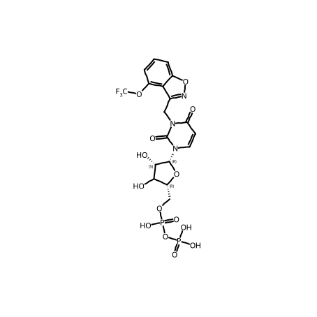 O=c1ccn([C@@H]2O[C@H](COP(=O)(O)OP(=O)(O)O)C(O)[C@@H]2O)c(=O)n1Cc1noc2cccc(OC(F)(F)F)c12